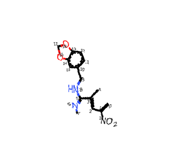 C=C(/C=C(C)/C(=N\C)NCc1ccc2c(c1)OCO2)[N+](=O)[O-]